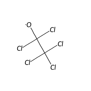 [O]C(Cl)(Cl)C(Cl)(Cl)Cl